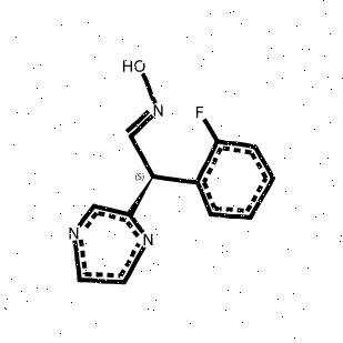 ON=C[C@H](c1cnccn1)c1ccccc1F